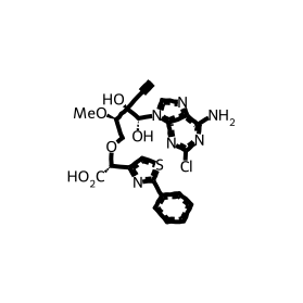 C#C[C@@](O)([C@@H](CO[C@@H](C(=O)O)c1csc(-c2ccccc2)n1)OC)[C@@H](O)n1cnc2c(N)nc(Cl)nc21